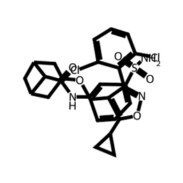 NS(=O)(=O)c1cccc(NC(=O)C2C3CC(OCc4c(-c5c(Cl)cccc5Cl)noc4C4CC4)CC2C3)c1